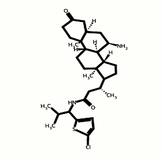 CC(C)C(NC(=O)C[C@@H](C)C1CC[C@H]2[C@@H]3[C@H](N)C[C@@H]4CC(=O)CC[C@]4(C)[C@H]3CC[C@]12C)c1ccc(Cl)s1